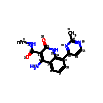 CCCNC(=O)c1c(N)c2cccc(-c3ccnc(C)n3)c2[nH]c1=O